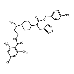 Cc1cc(Cl)nc(C)c1C(=O)NCC[C@@H](C)N1CCC(N(Cc2ccsc2)C(=O)OCc2ccc([N+](=O)[O-])cc2)CC1